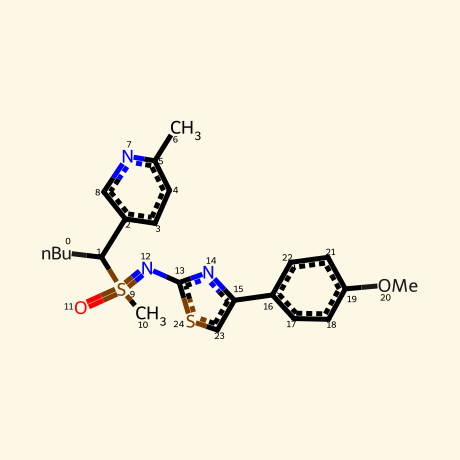 CCCCC(c1ccc(C)nc1)S(C)(=O)=Nc1nc(-c2ccc(OC)cc2)cs1